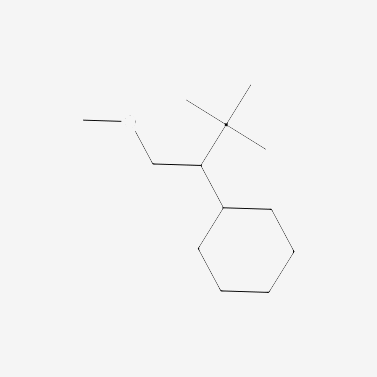 COCC(C1CCCCC1)C(C)(C)C